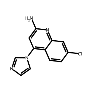 Nc1cc(-n2ccnc2)c2ccc(Cl)cc2n1